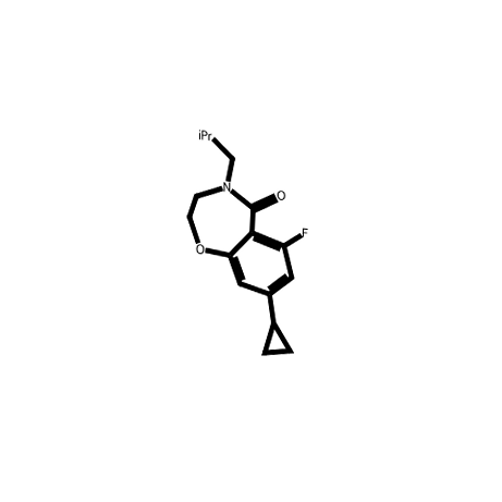 CC(C)CN1CCOc2cc(C3CC3)cc(F)c2C1=O